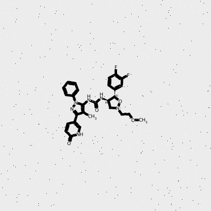 COCCN1C[C@@H](NC(=O)Nc2c(C)c(-c3ccc(=O)[nH]c3)nn2-c2ccccc2)[C@H](c2ccc(F)c(F)c2)O1